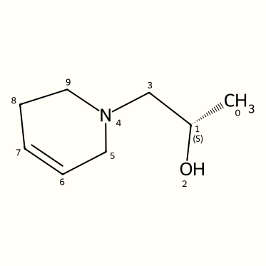 C[C@H](O)CN1CC=CCC1